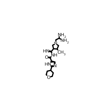 CC1CN(CC(N)N)CC1C(=N)NC(=O)c1cnc(C2CCOCC2)[nH]1